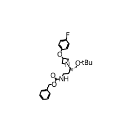 CC(C)(C)OC[C@H](CCNC(=O)OCc1ccccc1)N1CC(Oc2ccc(F)cc2)C1